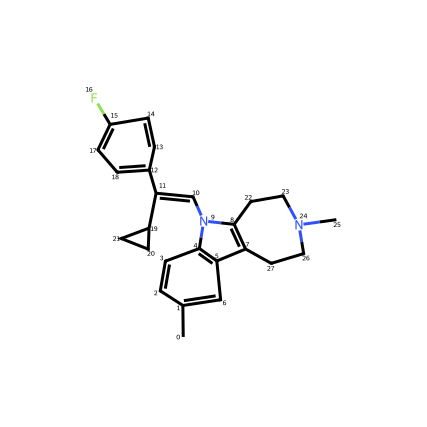 Cc1ccc2c(c1)c1c(n2/C=C(/c2ccc(F)cc2)C2CC2)CCN(C)CC1